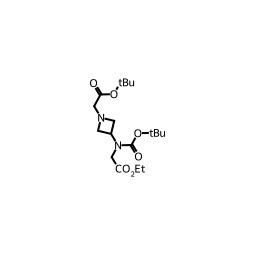 CCOC(=O)CN(C(=O)OC(C)(C)C)C1CN(CC(=O)OC(C)(C)C)C1